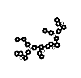 c1ccc(-c2ccc(N(c3ccc(-c4cccc5oc6c7ccccc7ccc6c45)cc3)c3ccc(-c4cccc5oc6c7ccc(-c8ccc(-c9ccc(N(c%10ccc(-c%11cccc(-c%12ccccc%12)c%11)cc%10)c%10ccc(-c%11cccc%12oc%13c%14ccccc%14ccc%13c%11%12)cc%10)cc9)c9c8oc8c%10ccccc%10ccc89)cc7ccc6c45)cc3)cc2)cc1